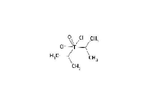 C[CH](C)[Ti](=[O])([Cl])([Cl])[CH](C)C